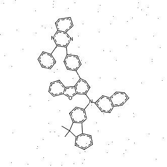 CC1(C)c2ccccc2-c2cc(N(c3ccc4ccccc4c3)c3ccc(-c4ccc(-c5nc6ccccc6nc5-c5ccccc5)cc4)c4c3oc3ccccc34)ccc21